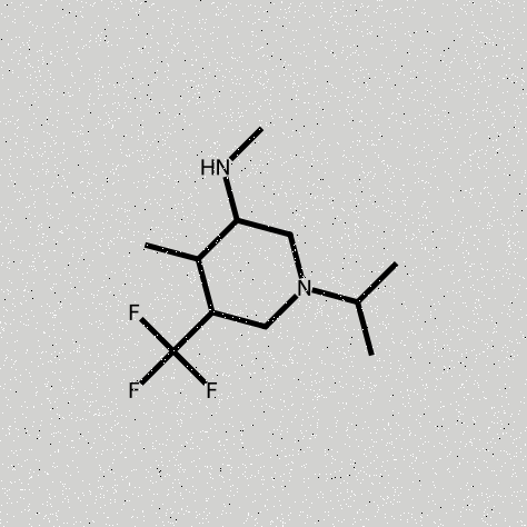 CNC1CN(C(C)C)CC(C(F)(F)F)C1C